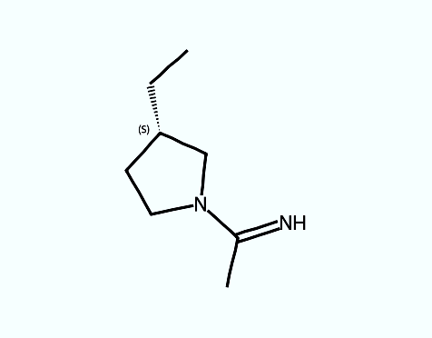 CC[C@H]1CCN(C(C)=N)C1